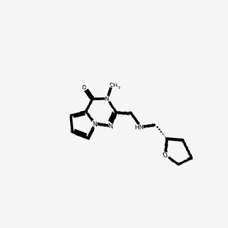 Cn1c(CNC[C@@H]2CCCO2)nn2cccc2c1=O